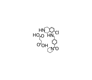 O=C(O)CCC(=O)O.O=C(c1ccc(CNc2c(Cl)ccc3c2CCNCC3)cc1)N1CCCCC1